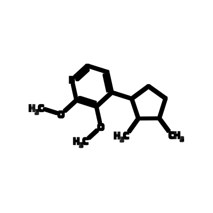 COc1bccc(C2CCC(C)C2C)c1OC